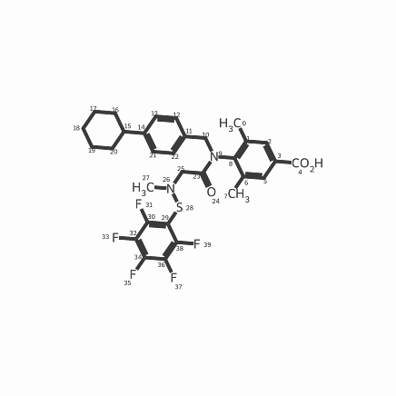 Cc1cc(C(=O)O)cc(C)c1N(Cc1ccc(C2CCCCC2)cc1)C(=O)CN(C)Sc1c(F)c(F)c(F)c(F)c1F